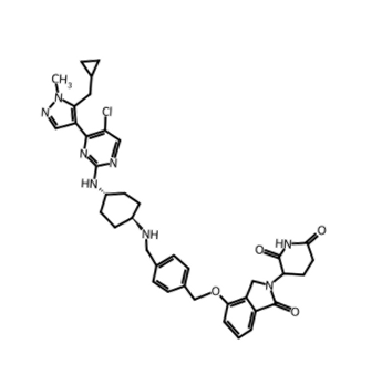 Cn1ncc(-c2nc(N[C@H]3CC[C@H](NCc4ccc(COc5cccc6c5CN(C5CCC(=O)NC5=O)C6=O)cc4)CC3)ncc2Cl)c1CC1CC1